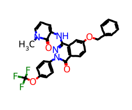 Cn1cccc(Nc2nn(-c3ccc(OC(F)(F)F)cc3)c(=O)c3ccc(OCc4ccccc4)cc23)c1=O